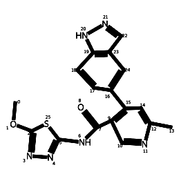 COc1nnc(NC(=O)c2cnc(C)cc2-c2ccc3[nH]ncc3c2)s1